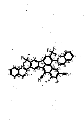 N#Cc1c(F)c(F)c2c(C#N)c3c4c(cc(C(F)(F)F)c(-c5ncc6ccccc6n5)c4c2c1F)-c1cc(C(F)(F)F)c(-c2ncc4ccccc4n2)cc1-3